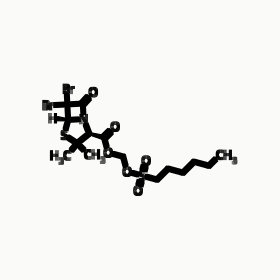 CCCCCCS(=O)(=O)OCOC(=O)[C@@H]1N2C(=O)C(Br)(Br)[C@H]2SC1(C)C